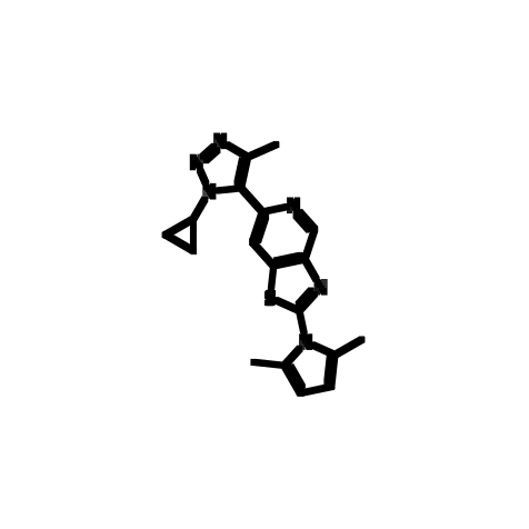 Cc1nnn(C2CC2)c1-c1cc2sc(-n3c(C)ccc3C)nc2cn1